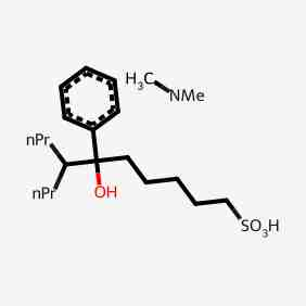 CCCC(CCC)C(O)(CCCCCS(=O)(=O)O)c1ccccc1.CNC